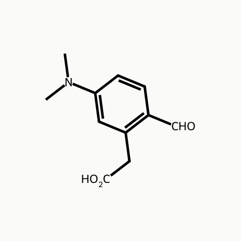 CN(C)c1ccc(C=O)c(CC(=O)O)c1